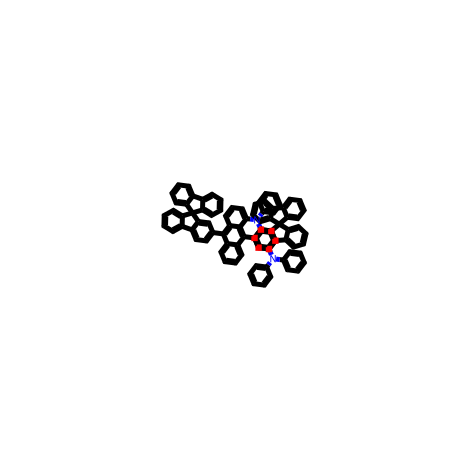 c1ccc(N(c2ccccc2)c2ccc(N(c3ccccc3)c3cccc4c(-c5ccc6c(c5)C5(c7ccccc7-c7ccccc75)c5ccccc5-6)c5ccccc5c(-c5ccc6c(c5)C5(c7ccccc7-c7ccccc75)c5ccccc5-6)c34)cc2)cc1